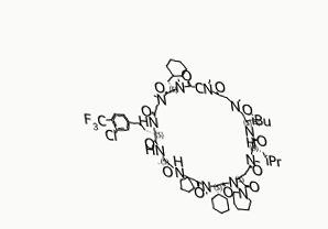 CC[C@H](C)[C@@H]1NC(=O)[C@H](CC(C)C)N(C)C(=O)C[C@@H](C(=O)N2CCCCC2)N(C)C(=O)[C@H](C2CCCCC2)N(C)C(=O)C2(CCCC2)NC(=O)[C@H](C)NC(=O)[C@H](CCc2ccc(C(F)(F)F)c(Cl)c2)NC(=O)CN(C)C(=O)[C@H](CC2CCCCC2)N(C)C(=O)CN(C)C(=O)CN(C)C1=O